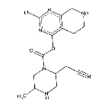 CC1CN(C(=O)Oc2nc(Cl)nc3c2CCNC3)C(CC#N)CN1